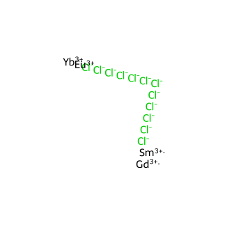 [Cl-].[Cl-].[Cl-].[Cl-].[Cl-].[Cl-].[Cl-].[Cl-].[Cl-].[Cl-].[Cl-].[Cl-].[Eu+3].[Gd+3].[Sm+3].[Yb+3]